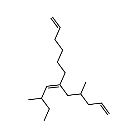 C=CCCCCC(=CC(C)CC)CC(C)CC=C